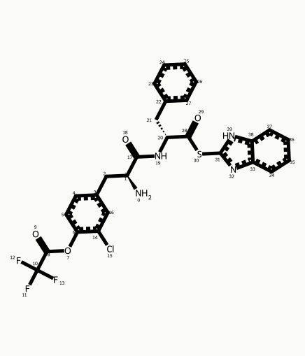 N[C@@H](Cc1ccc(OC(=O)C(F)(F)F)c(Cl)c1)C(=O)N[C@H](Cc1ccccc1)C(=O)Sc1nc2ccccc2[nH]1